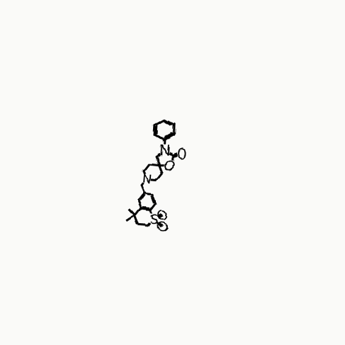 CC1(C)CCS(=O)(=O)c2ccc(CN3CCC4(CC3)CN(c3ccccc3)C(=O)O4)cc21